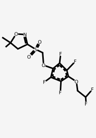 CC1(C)CC(S(=O)(=O)COc2c(F)c(F)c(OCC(F)F)c(F)c2F)=NO1